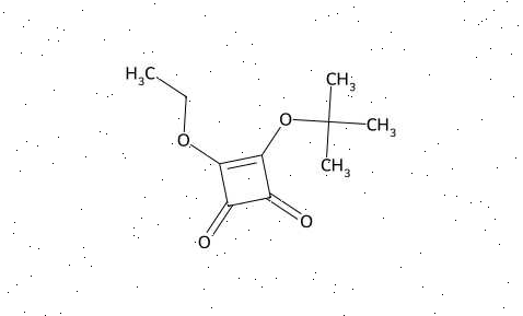 CCOc1c(OC(C)(C)C)c(=O)c1=O